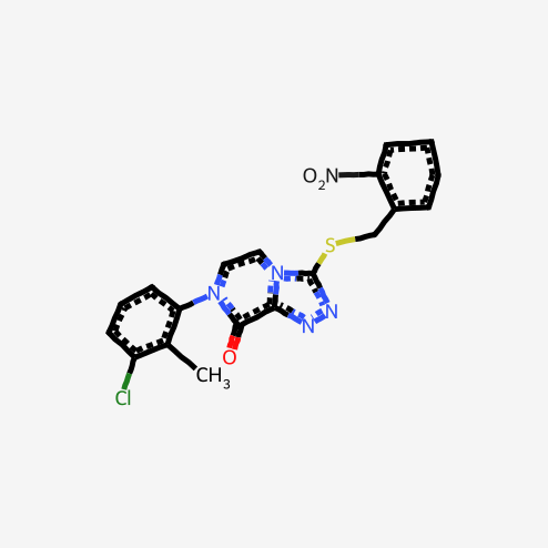 Cc1c(Cl)cccc1-n1ccn2c(SCc3ccccc3[N+](=O)[O-])nnc2c1=O